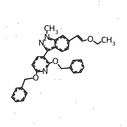 CCOC=Cc1ccc2c(-c3ccc(OCc4ccccc4)nc3OCc3ccccc3)nn(C)c2c1